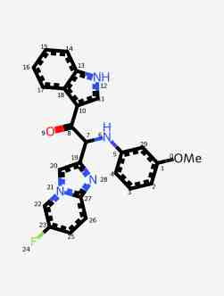 COc1cccc(NC(C(=O)c2c[nH]c3ccccc23)c2cn3cc(F)ccc3n2)c1